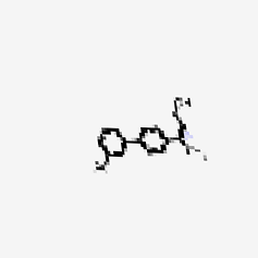 CC(=O)c1cccc(-c2ccc(/C(C)=C\CO)cc2)c1